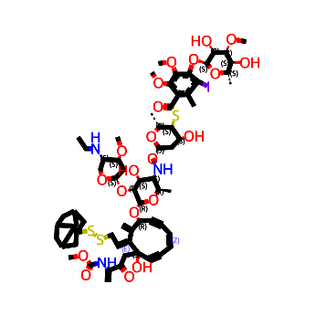 C=C(NC(=O)OC)C(=O)C[C@@]1(O)C#C/C=C\C#C[C@H](O[C@@H]2O[C@H](C)[C@@H](NO[C@H]3C[C@H](O)[C@H](SC(=O)c4c(C)c(I)c(O[C@@H]5O[C@@H](C)[C@H](O)[C@@H](OC)[C@H]5O)c(OC)c4OC)[C@@H](C)O3)[C@H](O)[C@H]2O[C@H]2C[C@H](OC)[C@@H](NCC)CO2)C(=C)/C1=C\CSSC12CC3CC(CC(C3)C1)C2